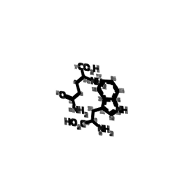 NC(=O)CCC(N)C(=O)O.NC(Cc1c[nH]c2ccccc12)C(=O)O